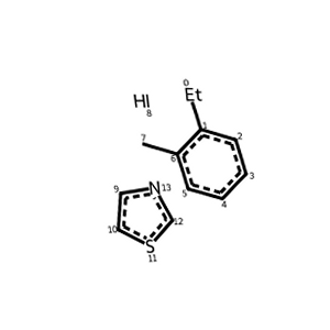 CCc1ccccc1C.I.c1cscn1